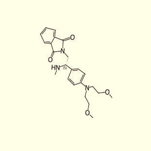 CN[C@H](CN1C(=O)c2ccccc2C1=O)c1ccc(N(CCOC)CCOC)cc1